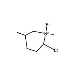 CCC1CCC(C)C[N+]1(C)CC